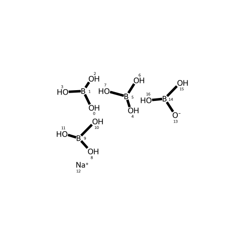 OB(O)O.OB(O)O.OB(O)O.[Na+].[O-]B(O)O